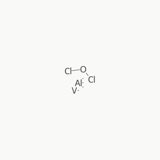 ClOCl.[Al].[V]